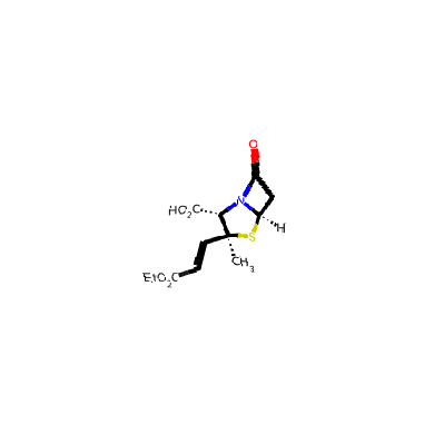 CCOC(=O)C=C[C@]1(C)S[C@@H]2CC(=O)N2[C@H]1C(=O)O